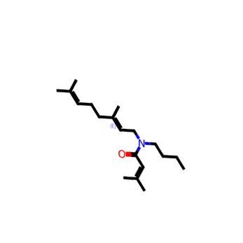 CCCCN(C/C=C(\C)CCC=C(C)C)C(=O)C=C(C)C